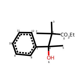 CCOC(=O)C(C)(C)C(C)(O)c1ccccc1